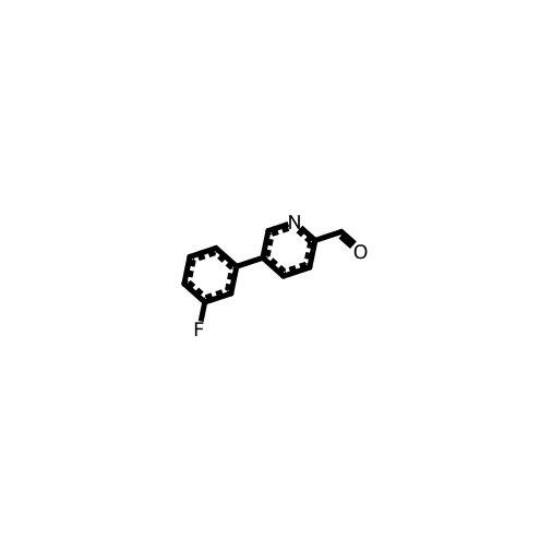 O=Cc1ccc(-c2cccc(F)c2)cn1